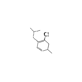 CC(C)CC1=C(Cl)CC(C)C=C1